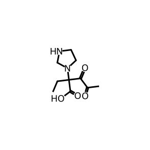 CCC(C(=O)O)(C(=O)C(C)=O)N1CCNC1